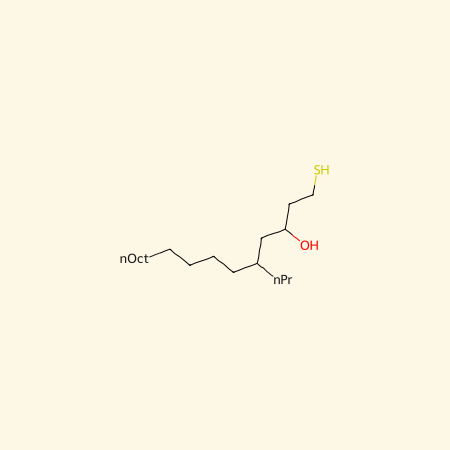 CCCCCCCCCCCCC(CCC)CC(O)CCS